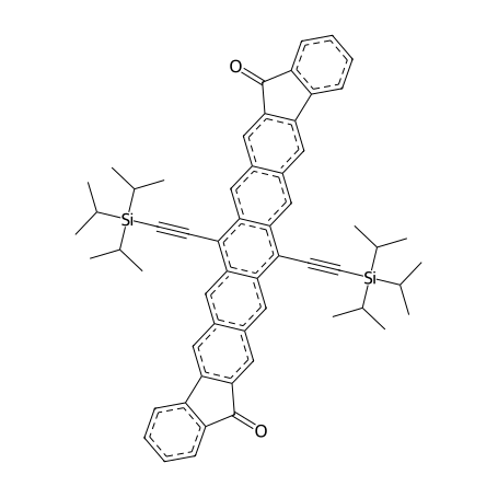 CC(C)[Si](C#Cc1c2cc3cc4c(cc3cc2c(C#C[Si](C(C)C)(C(C)C)C(C)C)c2cc3cc5c(cc3cc12)-c1ccccc1C5=O)-c1ccccc1C4=O)(C(C)C)C(C)C